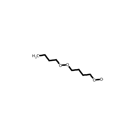 CCCCOOCCCCO[O]